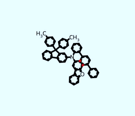 Cc1ccc(C2(c3ccc(C)cc3)c3ccccc3-c3ccc(N(c4ccc5oc6ccccc6c5c4)c4ccccc4-c4ccc(-c5ccccc5)cc4)cc32)cc1